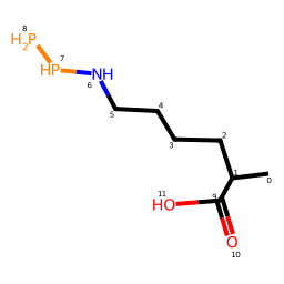 CC(CCCCNPP)C(=O)O